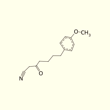 COc1ccc(CCCCC(=O)CC#N)cc1